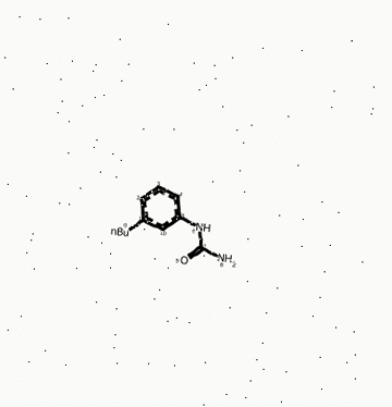 CCCCc1cccc(NC(N)=O)c1